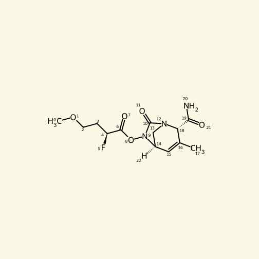 COCC[C@H](F)C(=O)ON1C(=O)N2C[C@H]1C=C(C)[C@H]2C(N)=O